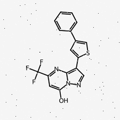 Oc1cc(C(F)(F)F)nc2c(-c3cc(-c4ccccc4)cs3)cnn12